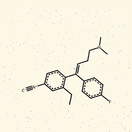 [C-]#[N+]c1ccc(/C(=C/CCN(C)C)c2ccc(F)cc2)c(CC)c1